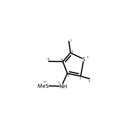 CSNc1c(C)sc(C)c1C